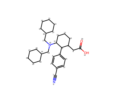 N#Cc1ccc(C2C(CC(=O)O)CCCC2N(CC2CCCCC2)CC2CCCCC2)cc1